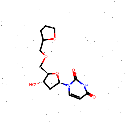 O=c1ccn([C@H]2C[C@H](O)[C@@H](COCC3CCCO3)O2)c(=O)[nH]1